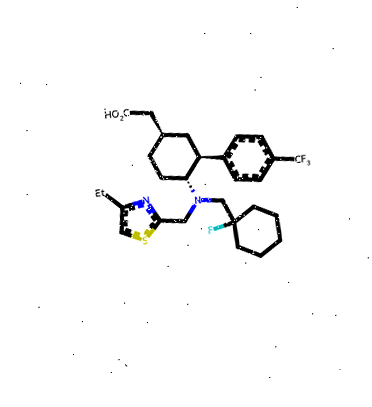 CCc1csc(CN(CC2(F)CCCCC2)[C@@H]2CC[C@@H](CC(=O)O)C[C@H]2c2ccc(C(F)(F)F)cc2)n1